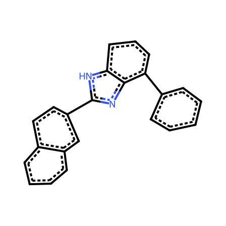 c1ccc(-c2cccc3[nH]c(-c4ccc5ccccc5c4)nc23)cc1